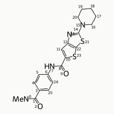 CNC(=O)c1ccc(NC(=O)c2cc3nc(N4CCCCC4)sc3s2)cc1